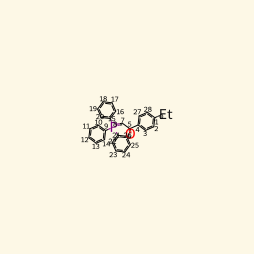 CCc1ccc(C(=O)C=P(c2ccccc2)(c2ccccc2)c2ccccc2)cc1